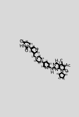 CC(=O)c1c(C)c2cnc(Nc3ccc(N4CCN(Cc5cncc(N6CCC(=O)NC6=O)c5)CC4)cn3)nc2n(C2CCCC2)c1=O